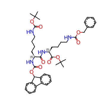 CC(C)(C)OC(=O)NCCCC[C@H](NC(=O)OC1c2ccccc2-c2ccccc21)C(=O)N[C@@H](CCCCNC(=O)OCc1ccccc1)C(=O)OC(C)(C)C